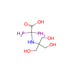 O=C(O)C(P)(P)NC(CO)(CO)CO